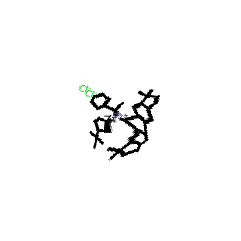 C/[C](c1ccccc1)=[Zr+2](/[C]1=CC(C(C)(C)C)=CC1)[CH]1c2cc3c(cc2-c2cc4c(cc21)C(C)(C)C=C4)C=CC3(C)C.[Cl-].[Cl-]